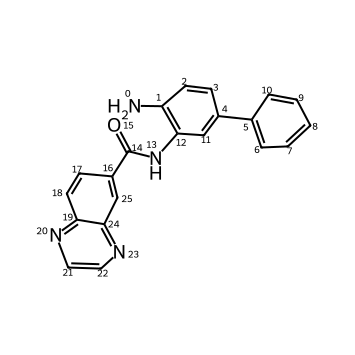 Nc1ccc(-c2ccccc2)cc1NC(=O)c1ccc2nccnc2c1